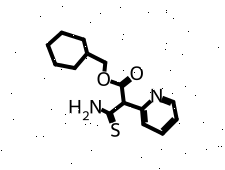 NC(=S)C(C(=O)OCC1CCCCC1)c1ccccn1